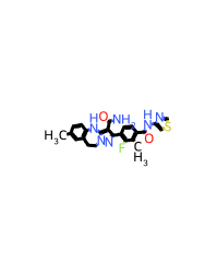 Cc1ccc2c(c1)CCn1nc(-c3ccc(C(=O)Nc4cscn4)c(C)c3F)c(C(N)=O)c1N2